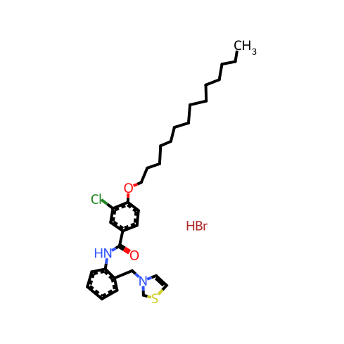 Br.CCCCCCCCCCCCCCOc1ccc(C(=O)Nc2ccccc2CN2C=CSC2)cc1Cl